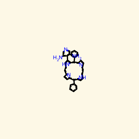 Nc1cncc(N)c1-c1cc2cc3nc(c(-c4ccccc4)c4ccc(cc5nc(c(-c6ccccc6)c1[nH]2)C=C5)[nH]4)C=C3